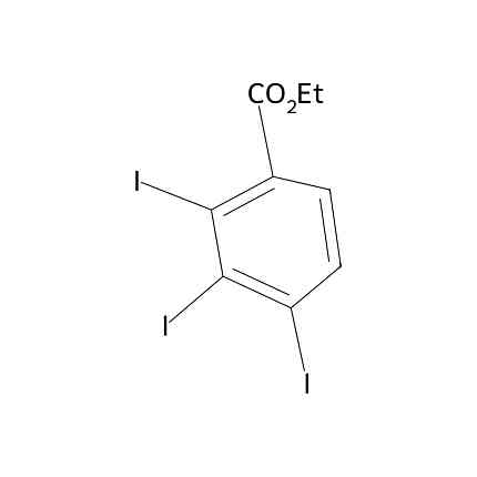 CCOC(=O)c1ccc(I)c(I)c1I